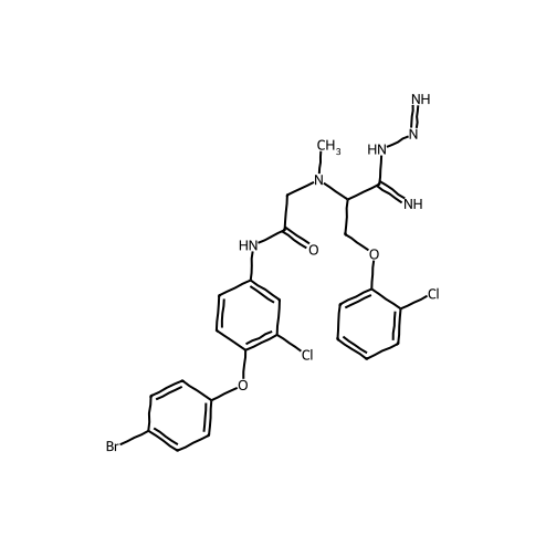 CN(CC(=O)Nc1ccc(Oc2ccc(Br)cc2)c(Cl)c1)C(COc1ccccc1Cl)C(=N)NN=N